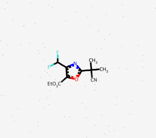 CCOC(=O)c1oc(C(C)(C)C#N)nc1C(F)F